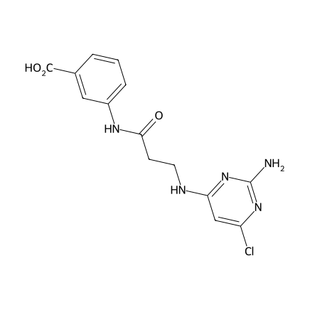 Nc1nc(Cl)cc(NCCC(=O)Nc2cccc(C(=O)O)c2)n1